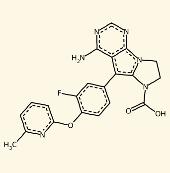 Cc1cccc(Oc2ccc(-c3c4n(c5ncnc(N)c35)CCN4C(=O)O)cc2F)n1